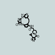 O=C(CC1CCN(C(=O)c2cnoc2C2CC2)CC1)Nc1ccc2cc1CCc1cncc(c1)Nc1ncc(Cl)c(n1)N2